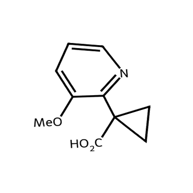 COc1cccnc1C1(C(=O)O)CC1